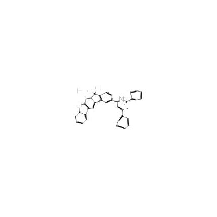 CC1(C)c2ccc(-c3cc(-c4ccccc4)nc(-c4ccccc4)n3)cc2C2=CC3=C(CC21)OC1CC=CC=C31